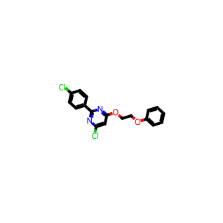 Clc1ccc(-c2nc(Cl)cc(OCCOc3ccccc3)n2)cc1